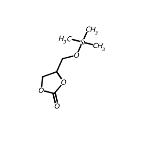 C[Si](C)(C)OCC1COC(=O)O1